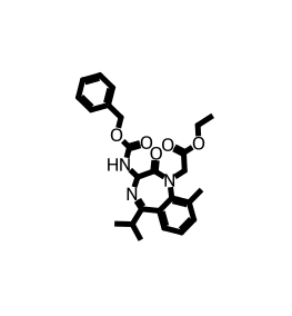 CCOC(=O)CN1C(=O)C(NC(=O)OCc2ccccc2)N=C(C(C)C)c2cccc(C)c21